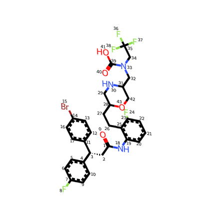 O=C(C[C@H](c1ccc(F)cc1)c1ccc(Br)cc1)Nc1cccc(F)c1CCC1CNC(CN(CC(F)(F)F)C(=O)O)CO1